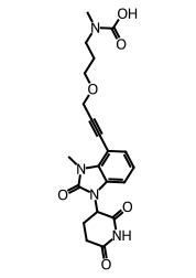 CN(CCCOCC#Cc1cccc2c1n(C)c(=O)n2C1CCC(=O)NC1=O)C(=O)O